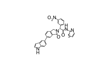 O=C(Nc1nccs1)[C@@H](c1cccc([N+](=O)[O-])c1)N1Cc2ccc(-c3ccc4[nH]ccc4c3)cc2C1=O